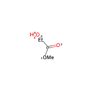 CCC(=O)OC.O